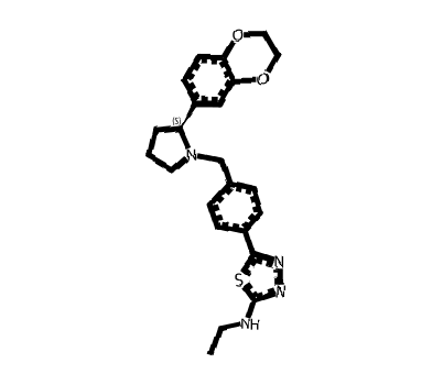 CCNc1nnc(-c2ccc(CN3CCC[C@H]3c3ccc4c(c3)OCCO4)cc2)s1